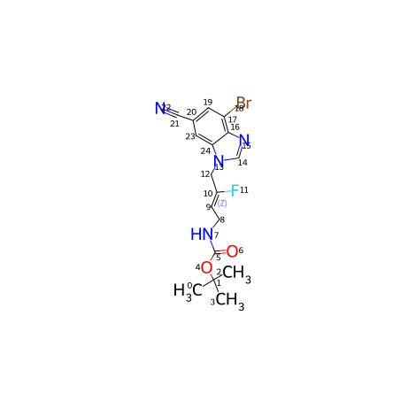 CC(C)(C)OC(=O)NC/C=C(\F)Cn1cnc2c(Br)cc(C#N)cc21